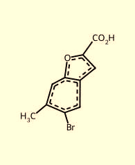 Cc1cc2oc(C(=O)O)cc2cc1Br